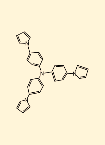 c1ccn(-c2ccc(N(c3ccc(-n4cccc4)cc3)c3ccc(-n4cccc4)cc3)cc2)c1